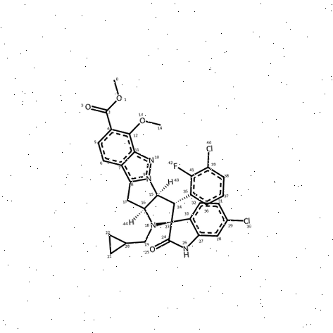 COC(=O)c1ccc2c3n(nc2c1OC)[C@@H]1[C@H](C3)N(CC2CC2)[C@@]2(C(=O)Nc3cc(Cl)ccc32)[C@H]1c1cccc(Cl)c1F